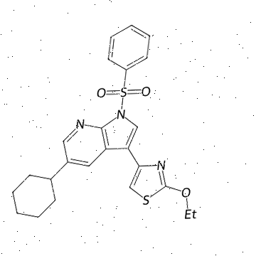 CCOc1nc(-c2cn(S(=O)(=O)c3ccccc3)c3ncc(C4CCCCC4)cc23)cs1